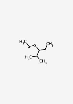 CCC(SSC)C(C)C